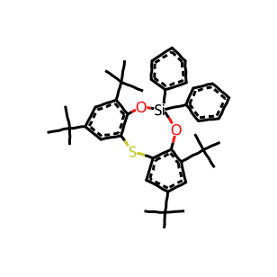 CC(C)(C)c1cc2c(c(C(C)(C)C)c1)O[Si](c1ccccc1)(c1ccccc1)Oc1c(cc(C(C)(C)C)cc1C(C)(C)C)S2